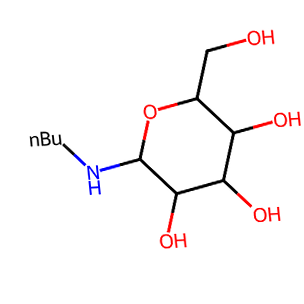 CCCCNC1OC(CO)C(O)C(O)C1O